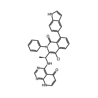 C[C@H](Nc1ncnc2[nH]ccc(=O)c12)c1c(Cl)c2cccc(-c3ccc4[nH]ccc4c3)c2c(=O)n1-c1ccccc1